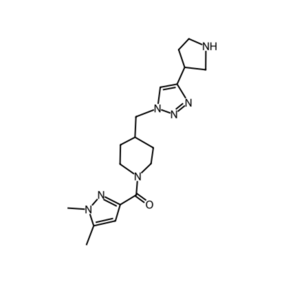 Cc1cc(C(=O)N2CCC(Cn3cc(C4CCNC4)nn3)CC2)nn1C